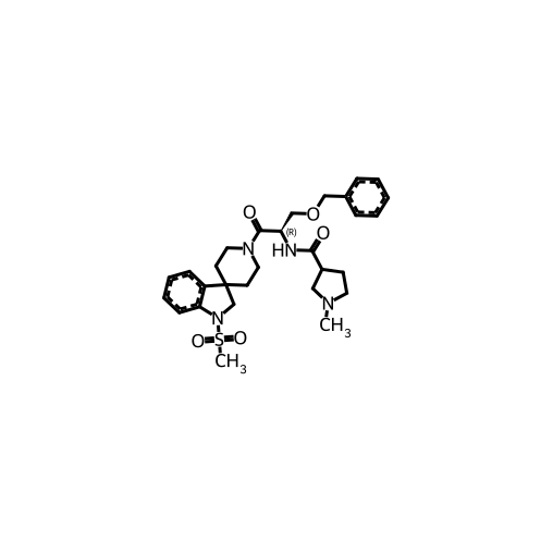 CN1CCC(C(=O)N[C@H](COCc2ccccc2)C(=O)N2CCC3(CC2)CN(S(C)(=O)=O)c2ccccc23)C1